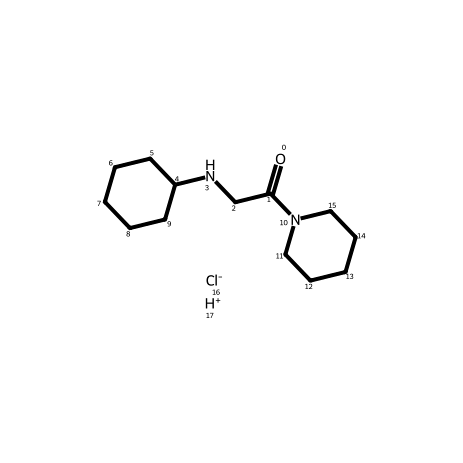 O=C(CNC1CCCCC1)N1CCCCC1.[Cl-].[H+]